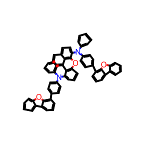 c1ccc(N(c2ccc(-c3cccc4c3oc3ccccc34)cc2)c2cccc3c2-c2cccc4ccc(N(c5ccccc5)c5ccc(-c6cccc7c6oc6ccccc67)cc5)c(c24)O3)cc1